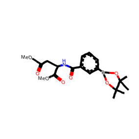 COC(=O)CC(NC(=O)c1cccc(B2OC(C)(C)C(C)(C)O2)c1)C(=O)OC